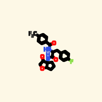 O=C(NC(Cc1ccc(F)cc1)C(=O)NC12CCCC1OCC2=O)c1ccc(C(F)(F)F)cc1